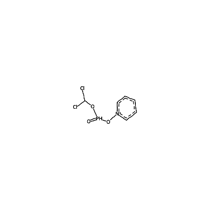 O=[PH](OC(Cl)Cl)O[n+]1ccccc1